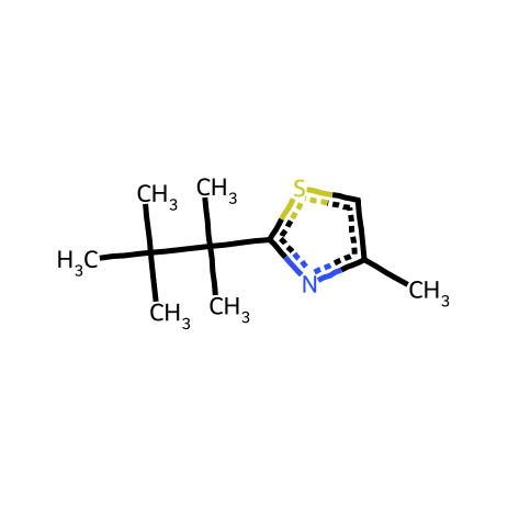 Cc1csc(C(C)(C)C(C)(C)C)n1